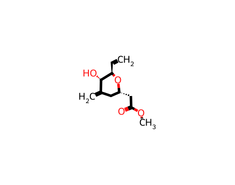 C=C[C@H]1O[C@H](CC(=O)OC)CC(=C)[C@@H]1O